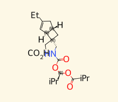 CCC1=C[C@H]2[C@H](C1)C[C@@]2(CNC(=O)O[C@@H](OC(=O)C(C)C)C(C)C)CC(=O)O